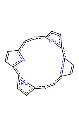 C1=Cc2nc1ccc1ccc([nH]1)c1nc(ccc3ccc2[nH]3)C=C1